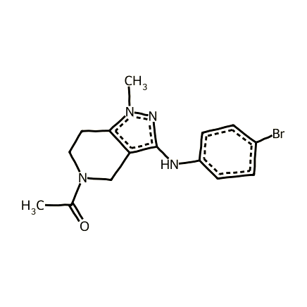 CC(=O)N1CCc2c(c(Nc3ccc(Br)cc3)nn2C)C1